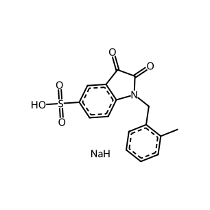 Cc1ccccc1CN1C(=O)C(=O)c2cc(S(=O)(=O)O)ccc21.[NaH]